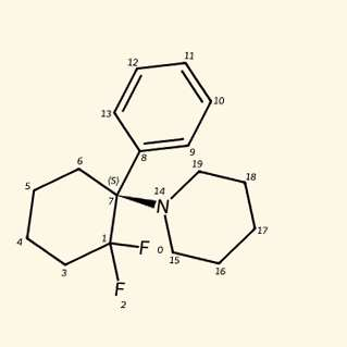 FC1(F)CCCC[C@@]1(c1ccccc1)N1CCCCC1